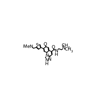 CNCc1cc(C2=CC3C(=CC2=O)C(C(=O)NCCN(C)C)=CC2=NNCN23)cs1